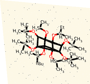 CCCC[SiH](C)OC12C3(O[SiH2]C)C4(O[SiH](C)CC)C1(O[SiH](C)C)C1(O[Si](C)(C)C)C4(O[Si](C)(C)C)C3(O[Si](C)(C)C)C21O[Si](C)(C)C